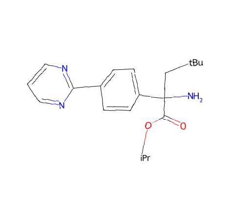 CC(C)OC(=O)C(N)(CC(C)(C)C)c1ccc(-c2ncccn2)cc1